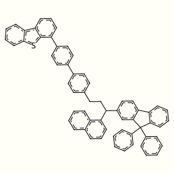 c1ccc(C2(c3ccccc3)c3ccccc3-c3ccc(C(CCc4ccc(-c5ccc(-c6cccc7c6sc6ccccc67)cc5)cc4)c4cccc5ccccc45)cc32)cc1